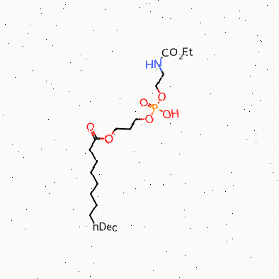 CCCCCCCCCCCCCCCCCC(=O)OCCCOP(=O)(O)OCCNC(=O)OCC